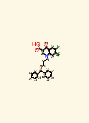 O=C(O)c1cn(CCCSC(c2ccccc2)c2ccccc2)c2cc(F)c(F)cc2c1=O